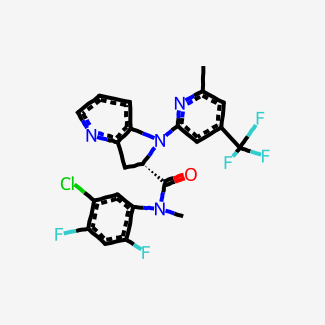 Cc1cc(C(F)(F)F)cc(N2c3cccnc3C[C@H]2C(=O)N(C)c2cc(Cl)c(F)cc2F)n1